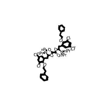 CCCN(CCC)C(Cc1cc(Cl)cc(Cl)c1OCCc1ccccc1)OC(=O)C(=O)OC(Cc1cc(Cl)cc(Cl)c1OCCc1ccccc1)N(CCC)CCC